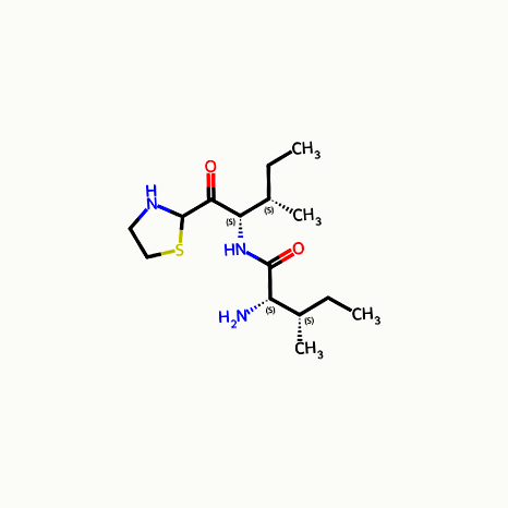 CC[C@H](C)[C@H](N)C(=O)N[C@H](C(=O)C1NCCS1)[C@@H](C)CC